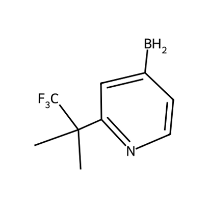 Bc1ccnc(C(C)(C)C(F)(F)F)c1